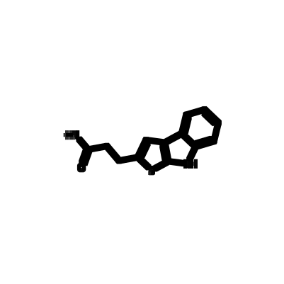 [NH]C(=O)CCc1cc2c([nH]c3ccccc32)s1